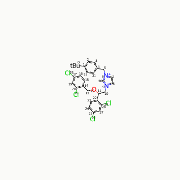 CC(C)(C)c1ccc(C[n+]2ccn(CC(OCc3ccc(Cl)cc3Cl)c3ccc(Cl)cc3Cl)c2)cc1